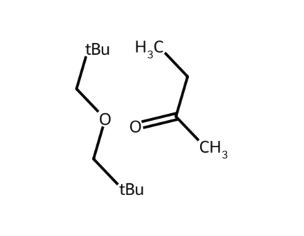 CC(C)(C)COCC(C)(C)C.CCC(C)=O